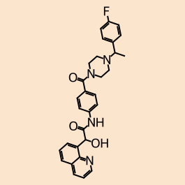 CC(c1ccc(F)cc1)N1CCN(C(=O)c2ccc(NC(=O)C(O)c3cccc4cccnc34)cc2)CC1